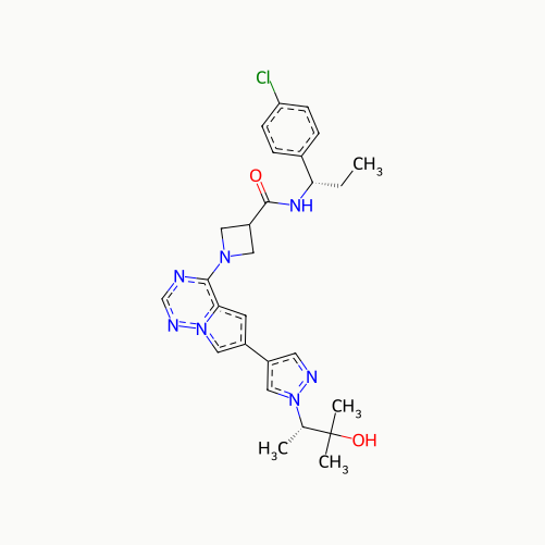 CC[C@H](NC(=O)C1CN(c2ncnn3cc(-c4cnn([C@@H](C)C(C)(C)O)c4)cc23)C1)c1ccc(Cl)cc1